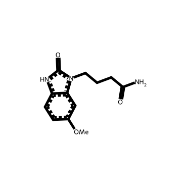 COc1ccc2[nH]c(=O)n(CCCC(N)=O)c2c1